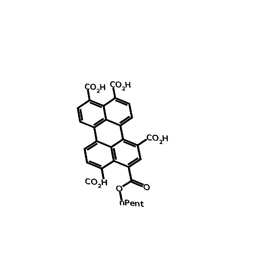 CCCCCOC(=O)c1cc(C(=O)O)c2c3ccc(C(=O)O)c4c(C(=O)O)ccc(c5ccc(C(=O)O)c1c52)c43